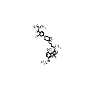 COc1cccc([C@@](O)(C(=O)N(C)CCCC2(C)CCN(c3ccc(C(=O)N(C)C)c(Cl)c3)CC2)C(F)(F)F)c1